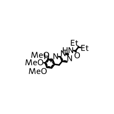 CCC(CC)C(=O)Nc1ncc(Cc2cc(OC)c(OC)c(OC)c2)c(N)n1